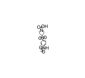 CS(=O)(=O)Nc1ccc(S(=O)(=O)C2CCN(C(=O)O)CC2)cc1